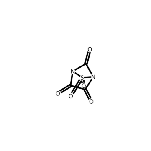 O=C1C(=O)N2C(=O)N1S2(=O)=O